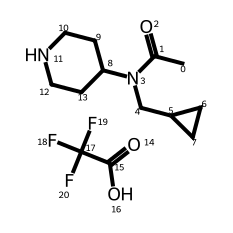 CC(=O)N(CC1CC1)C1CCNCC1.O=C(O)C(F)(F)F